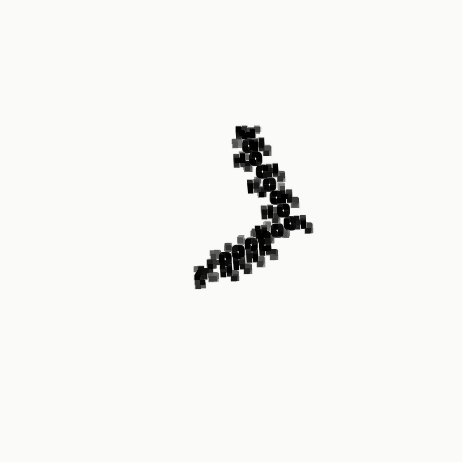 O.O.O.O.O.O.O.O.O.O.O.O.[F-].[Na+].[Zr]